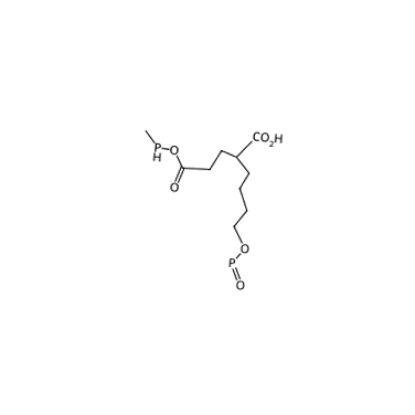 CPOC(=O)CCC(CCCCOP=O)C(=O)O